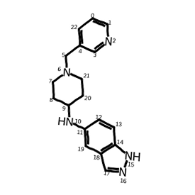 c1cncc(CN2CCC(Nc3ccc4[nH]ncc4c3)CC2)c1